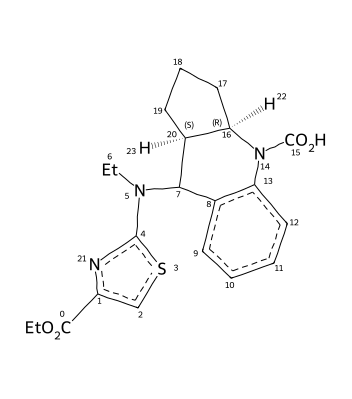 CCOC(=O)c1csc(N(CC)C2c3ccccc3N(C(=O)O)[C@@H]3CCC[C@H]23)n1